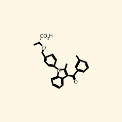 Cc1cccc(C(=O)c2c(C)n(-c3ccc(CO[C@H](C)C(=O)O)cc3)c3ccccc23)c1